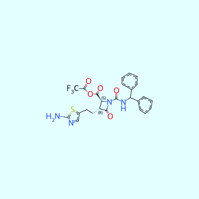 Nc1ncc(CC[C@H]2C(=O)N(C(=O)NC(c3ccccc3)c3ccccc3)[C@@H]2C(=O)OC(=O)C(F)(F)F)s1